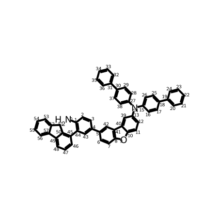 Nc1ccc(-c2ccc3oc4ccc(N(c5ccc(-c6ccccc6)cc5)c5ccc(-c6ccccc6)cc5)cc4c3c2)cc1-c1cccc2c1Cc1ccccc1-2